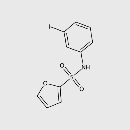 O=S(=O)(Nc1cccc(I)c1)c1ccco1